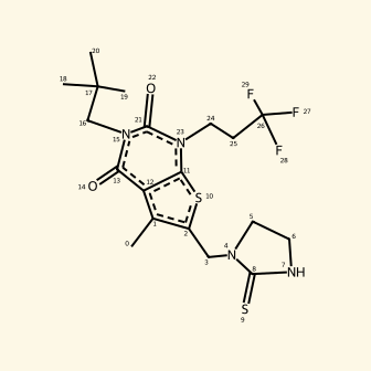 Cc1c(CN2CCNC2=S)sc2c1c(=O)n(CC(C)(C)C)c(=O)n2CCC(F)(F)F